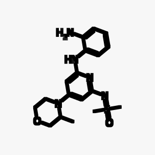 CC1COCCN1c1cc(N=S(C)(C)=O)nc(Nc2ccccc2N)c1